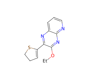 CCOc1nc2ncccc2nc1C1=CCCS1